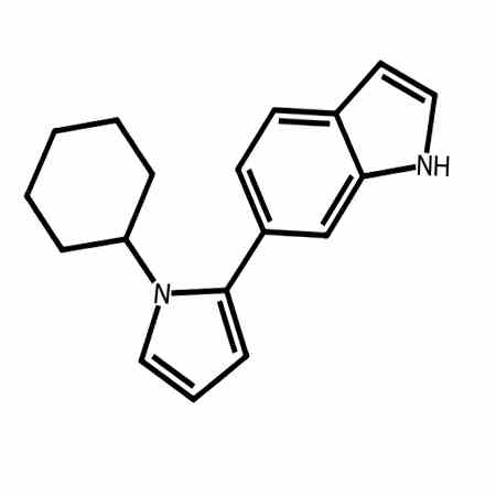 c1cc(-c2ccc3cc[nH]c3c2)n(C2CCCCC2)c1